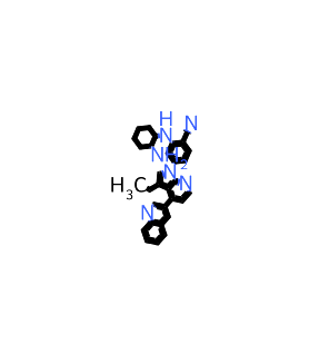 CCc1cn(-c2ccc(C#N)c(NC3CCCCC3N)c2)c2nccc(-c3cnc4ccccc4c3)c12